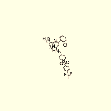 Bc1cnn2c(NCC3CCN(S(=O)(=O)c4ccc(C(F)(F)F)cc4)CC3)cc(C3=C(Cl)CCC=C3)nc12